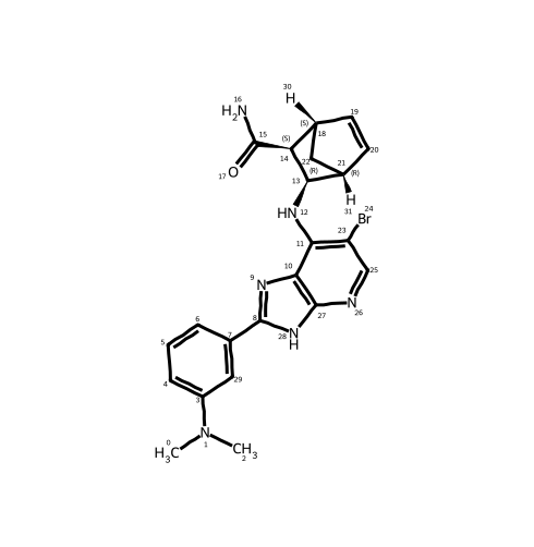 CN(C)c1cccc(-c2nc3c(N[C@H]4[C@@H](C(N)=O)[C@@H]5C=C[C@H]4C5)c(Br)cnc3[nH]2)c1